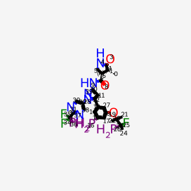 C[C@H]1C(=O)NC[C@@H]1C(=O)Nc1cc(-c2cc(P)cc(OC(C)(C)C(C)(F)P)c2)n(-c2cnc(C(F)(F)P)nc2)n1